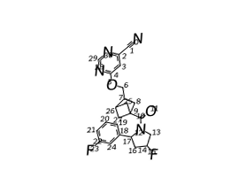 N#Cc1cc(OCC2CC3(C(=O)N4CC(F)CC4c4cccc(F)c4)CC2C3)ncn1